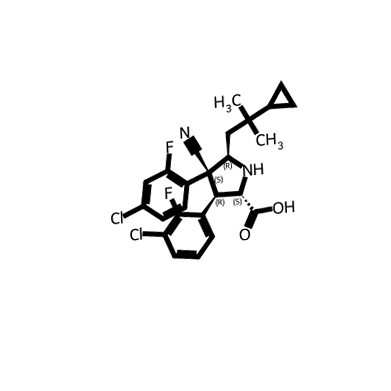 CC(C)(C[C@H]1N[C@H](C(=O)O)[C@@H](c2cccc(Cl)c2F)[C@]1(C#N)c1ccc(Cl)cc1F)C1CC1